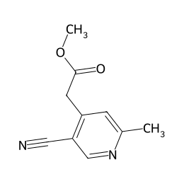 COC(=O)Cc1cc(C)ncc1C#N